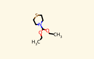 CCOC(OCC)N1CCSCC1